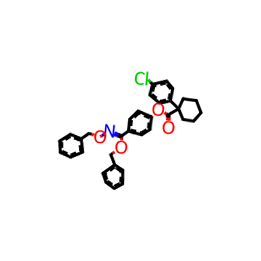 O=C(Oc1ccc(C(=NOCc2ccccc2)OCc2ccccc2)cc1)C1(c2ccc(Cl)cc2)CCCCC1